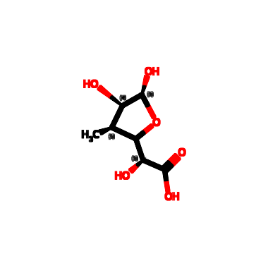 C[C@@H]1C([C@H](O)C(=O)O)O[C@H](O)[C@@H]1O